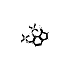 C[Si](C)(C)Oc1ccc2c(c1O[Si](C)(C)C)C(=O)CC2